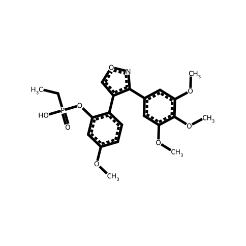 CCP(=O)(O)Oc1cc(OC)ccc1-c1conc1-c1cc(OC)c(OC)c(OC)c1